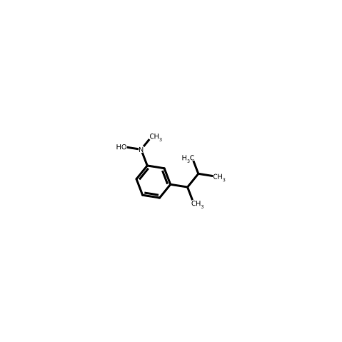 CC(C)C(C)c1cccc(N(C)O)c1